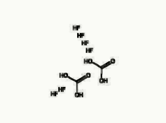 F.F.F.F.F.F.O=C(O)O.O=C(O)O